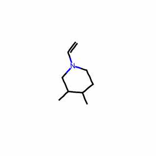 C=CN1CCC(C)C(C)C1